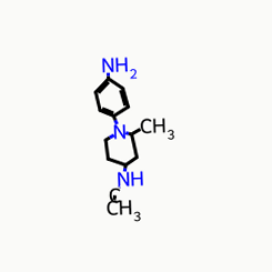 CCNC1CCN(c2ccc(N)cc2)C(C)C1